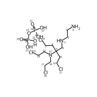 NCCNCC(CCCl)(CCCl)N(CCCl)CCCl.O=P(O)(O)OP(=O)(O)O